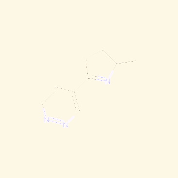 Cc1csc(-c2ccnnc2)n1